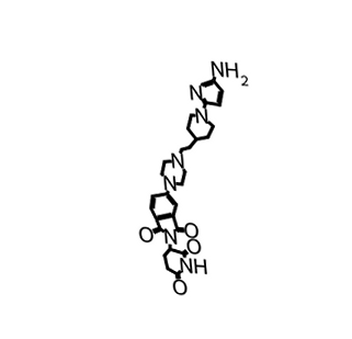 Nc1ccc(N2CCC(CCN3CCN(c4ccc5c(c4)C(=O)N(C4CCC(=O)NC4=O)C5=O)CC3)CC2)nc1